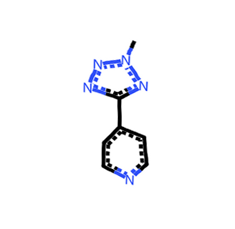 Cn1nnc(-c2ccncc2)n1